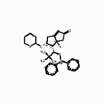 CC(C)(C)C(O[SiH](c1ccccc1)c1ccccc1)[C@@H]1[C@H](OC2CCCCO2)CC2=CC(=O)C[C@@H]21